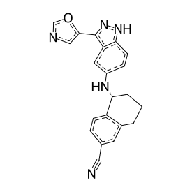 N#Cc1ccc2c(c1)CCC[C@H]2Nc1ccc2[nH]nc(-c3cnco3)c2c1